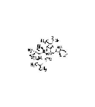 Cc1[nH]c([C@@H](Cc2c[nH]c3ccccc23)N(C(=O)CC(C)(C)C)C(=O)[C@@H](N)CC(C)C)nc1C(=O)O